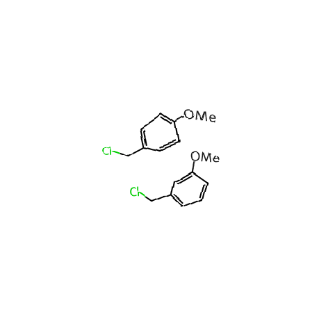 COc1ccc(CCl)cc1.COc1cccc(CCl)c1